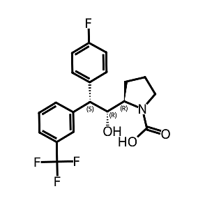 O=C(O)N1CCC[C@@H]1[C@H](O)[C@@H](c1ccc(F)cc1)c1cccc(C(F)(F)F)c1